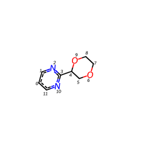 c1cnc(C2COCCO2)nc1